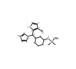 CC(C)(C)[Si](C)(C)OC1CCCC(C(c2sccc2Br)n2ccnc2)C1